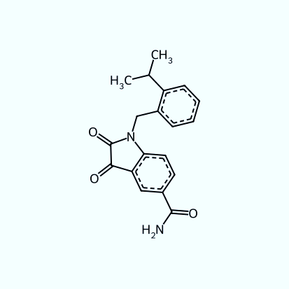 CC(C)c1ccccc1CN1C(=O)C(=O)c2cc(C(N)=O)ccc21